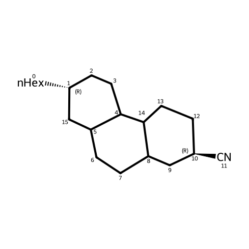 CCCCCC[C@@H]1CCC2C(CCC3C[C@H](C#N)CCC32)C1